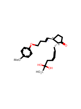 COc1ccc(OCC/C=C/[C@H]2CCC(=O)[C@@H]2CC=C=CCC(O)(O)C(=O)O)cc1